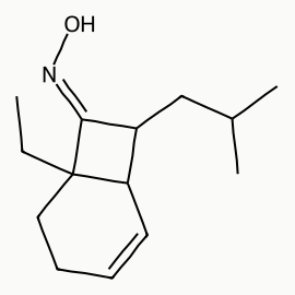 CCC12CCC=CC1C(CC(C)C)C2=NO